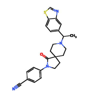 CC(c1ccc2scnc2c1)N1CCC2(CCN(c3ccc(C#N)cc3)C2=O)CC1